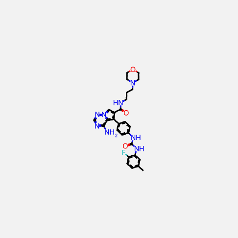 Cc1ccc(F)c(NC(=O)Nc2ccc(-c3c(C(=O)NCCCN4CCOCC4)cn4ncnc(N)c34)cc2)c1